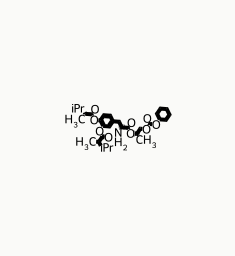 CC(C)C(C)C(=O)Oc1ccc(C[C@H](N)C(=O)O[C@@H](C)COC(=O)OC2CCCCC2)cc1OC(=O)C(C)C(C)C